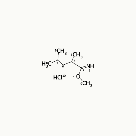 COC(=N)C(C)CC(C)C.Cl